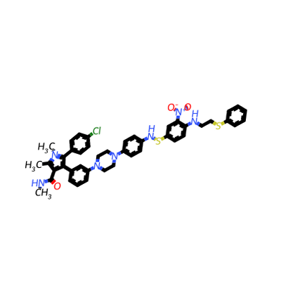 CNC(=O)c1c(-c2cccc(N3CCN(c4ccc(NSc5ccc(NCCSc6ccccc6)c([N+](=O)[O-])c5)cc4)CC3)c2)c(-c2ccc(Cl)cc2)n(C)c1C